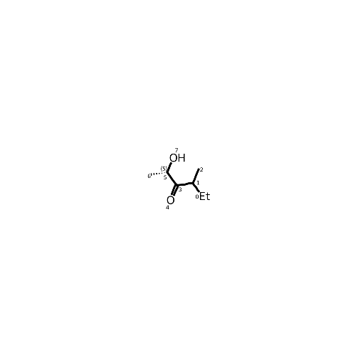 CCC(C)C(=O)[C@H](C)O